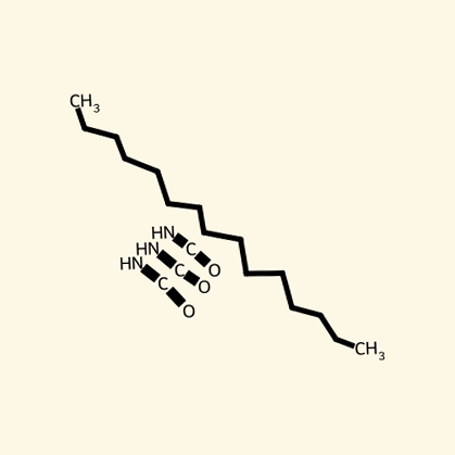 CCCCCCCCCCCCCCC.N=C=O.N=C=O.N=C=O